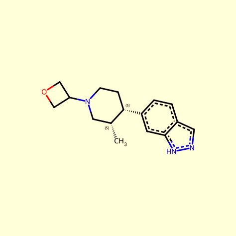 C[C@@H]1CN(C2COC2)CC[C@@H]1c1ccc2cn[nH]c2c1